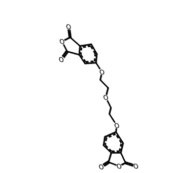 O=C1OC(=O)c2cc(OCCOCCOc3ccc4c(c3)C(=O)OC4=O)ccc21